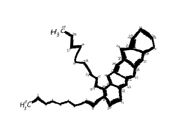 CCCCCCCCCc1ccc2cc3cc4cc5ccccc5cc4cc3cc2c1CCCCCCCCC